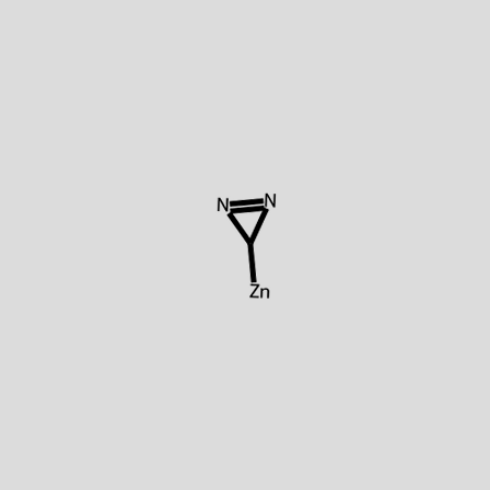 [Zn][CH]1N=N1